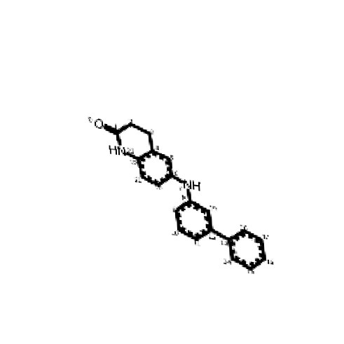 O=C1CCc2cc(Nc3cccc(-c4ccccc4)c3)ccc2N1